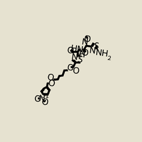 CON=C(C(=O)NC1C(=O)N2C=C(C(=O)OCCCCCC(=O)OCc3ccc([N+](=O)[O-])cc3)CS[C@H]12)c1csc(N)n1